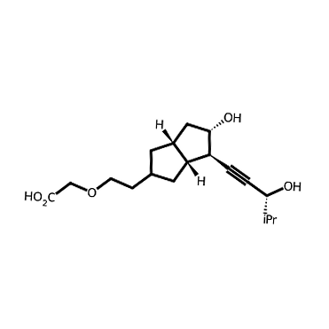 CC(C)[C@@H](O)C#C[C@H]1[C@@H]2CC(CCOCC(=O)O)C[C@@H]2C[C@@H]1O